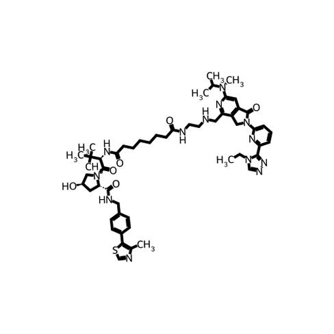 CCn1cnnc1-c1cccc(N2Cc3c(cc(N(C)C(C)C)nc3CNCCNC(=O)CCCCCCC(=O)N[C@H](C(=O)N3C[C@H](O)C[C@H]3C(=O)NCc3ccc(-c4scnc4C)cc3)C(C)(C)C)C2=O)n1